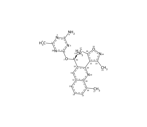 Cc1nc(N)nc(O[C@@H](C)c2cc3cccc(C)c3nc2-c2c(C)noc2C)n1